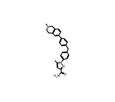 Cc1cc(C(N)=O)nn1-c1ccc(Cc2ccc(-c3ccc4c(c3)CCN(C)C4)cc2)cc1